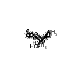 CNC(=O)C1CN(S(=O)(=O)c2ccc3c(Cl)cccc3c2)CCN1C(=O)c1nc2c(s1)CCN(C)C2.Cl